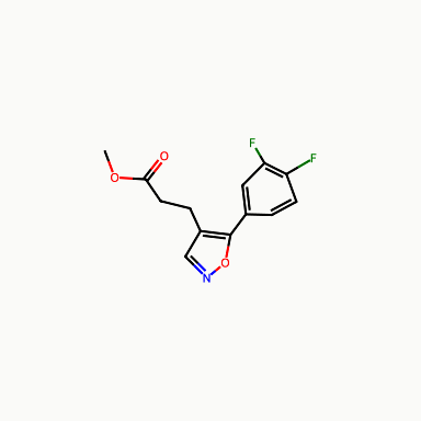 COC(=O)CCc1cnoc1-c1ccc(F)c(F)c1